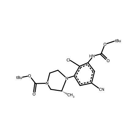 C[C@@H]1CN(C(=O)OC(C)(C)C)CCN1c1cc(C#N)cc(NC(=O)OC(C)(C)C)c1Cl